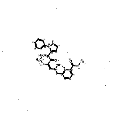 C=C(C(=O)/C(=C\N(N)Cc1cccc(C(=O)OC)n1)OC)c1ccnn1-c1ccccc1